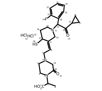 CC(C(=O)O)N1CCN(CC=C2CN(C(C(=O)C3CC3)c3ccccc3F)CCC2S)CC1=O.Cl.Cl